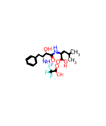 CC(C)CC(NC(=O)[C@@H](O)[C@H](N)Cc1ccccc1)C(=O)O.O=C(O)C(F)(F)F